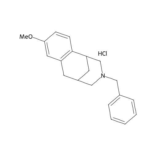 COc1ccc2c(c1)CC1CC2CN(Cc2ccccc2)C1.Cl